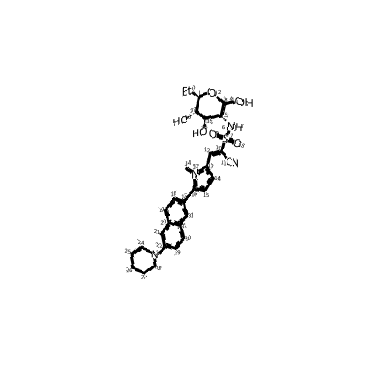 CC[C@H]1OC(O)[C@H](NS(=O)(=O)/C(C#N)=C/c2ccc(-c3ccc4cc(N5CCCCC5)ccc4c3)n2C)[C@@H](O)[C@@H]1O